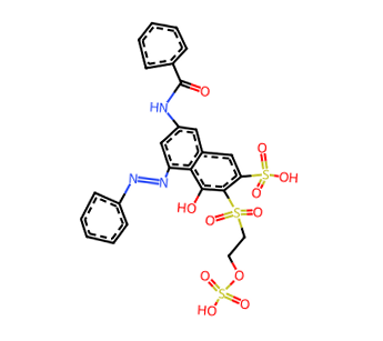 O=C(Nc1cc(N=Nc2ccccc2)c2c(O)c(S(=O)(=O)CCOS(=O)(=O)O)c(S(=O)(=O)O)cc2c1)c1ccccc1